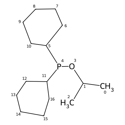 CC(C)OP(C1CCCCC1)C1CCCCC1